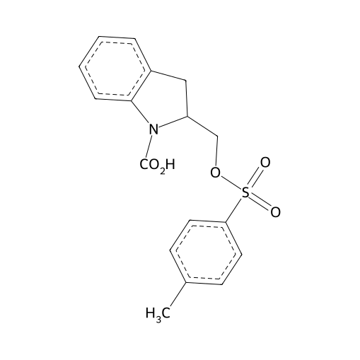 Cc1ccc(S(=O)(=O)OCC2Cc3ccccc3N2C(=O)O)cc1